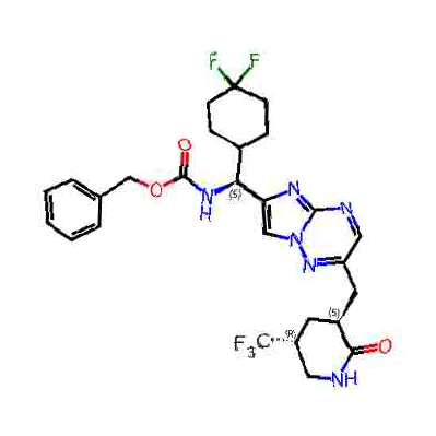 O=C(N[C@H](c1cn2nc(C[C@@H]3C[C@@H](C(F)(F)F)CNC3=O)cnc2n1)C1CCC(F)(F)CC1)OCc1ccccc1